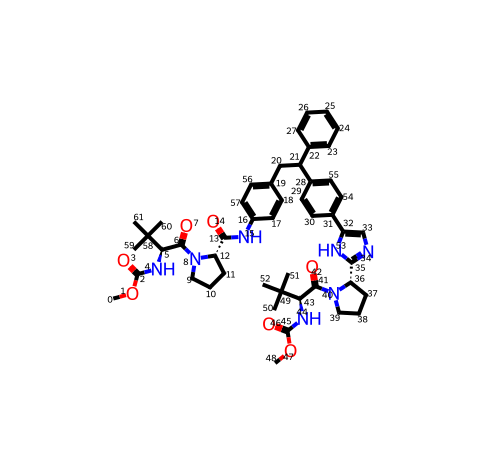 COC(=O)N[C@H](C(=O)N1CCC[C@H]1C(=O)Nc1ccc(CC(c2ccccc2)c2ccc(-c3cnc([C@@H]4CCCN4C(=O)[C@@H](NC(=O)OC)C(C)(C)C)[nH]3)cc2)cc1)C(C)(C)C